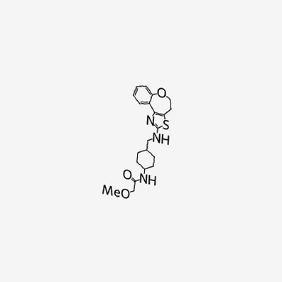 COCC(=O)NC1CCC(CNc2nc3c(s2)CCOc2ccccc2-3)CC1